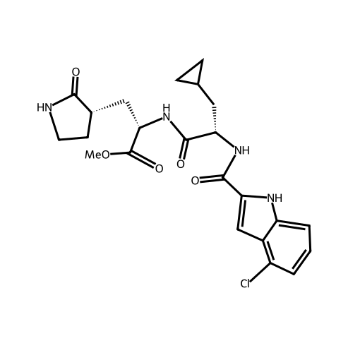 COC(=O)[C@H](C[C@@H]1CCNC1=O)NC(=O)[C@H](CC1CC1)NC(=O)c1cc2c(Cl)cccc2[nH]1